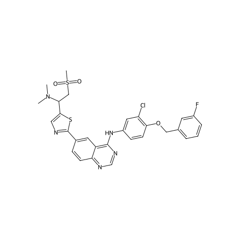 CN(C)C(CS(C)(=O)=O)c1cnc(-c2ccc3ncnc(Nc4ccc(OCc5cccc(F)c5)c(Cl)c4)c3c2)s1